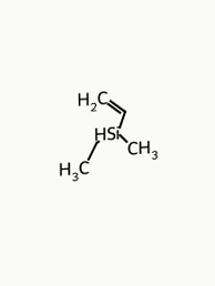 C=C[SiH](C)CC